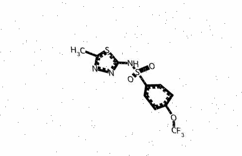 Cc1nnc(NS(=O)(=O)c2ccc(OC(F)(F)F)cc2)s1